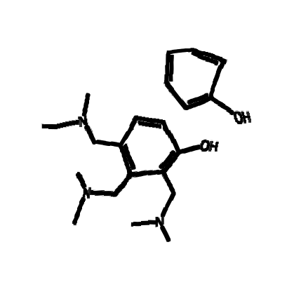 CN(C)Cc1ccc(O)c(CN(C)C)c1CN(C)C.Oc1ccccc1